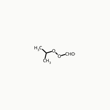 CC(C)OO[C]=O